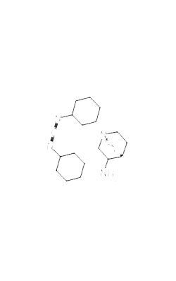 C(=NC1CCCCC1)=NC1CCCCC1.NC1CN2CCC1CC2